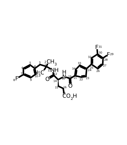 CC(C)(Cc1ccc(F)cc1)NC(=O)[C@H](CCC(=O)O)NC(=O)c1ccc(-c2ccc(F)c(F)c2)cc1